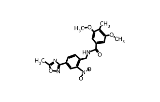 COc1cc(C(=O)NCc2ccc(-c3noc(C)n3)cc2[N+](=O)[O-])cc(OC)c1C